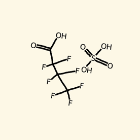 O=C(O)C(F)(F)C(F)(F)C(F)(F)F.O=S(=O)(O)O